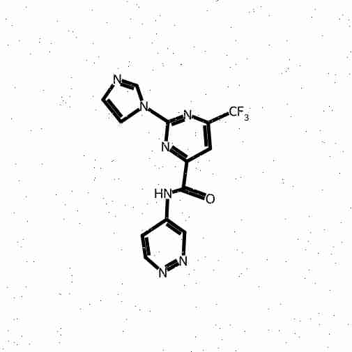 O=C(Nc1ccnnc1)c1cc(C(F)(F)F)nc(-n2ccnc2)n1